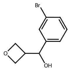 OC(c1cccc(Br)c1)C1COC1